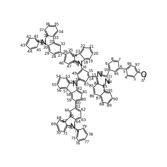 COc1ccc(-c2cccc(-c3nc(-c4cc(-n5c6ccccc6c6cc(-c7ccc8c(c7)c7ccccc7n8-c7ccccc7)ccc65)cc(-n5c6ccccc6c6cc(-c7ccc8c(c7)c7ccccc7n8-c7ccccc7)ccc65)c4)c4ccc5ccccc5c4n3)c2)cc1